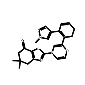 Cn1cc(C2=C(C3=CN(c4nc5c(s4)C(=O)CC(C)(C)C5)C=CO3)CCC=C2)cn1